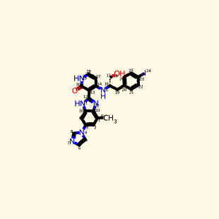 Cc1cc(-n2ccnc2)cc2[nH]c(-c3c(N[C@H](CO)Cc4ccc(I)cc4)cc[nH]c3=O)nc12